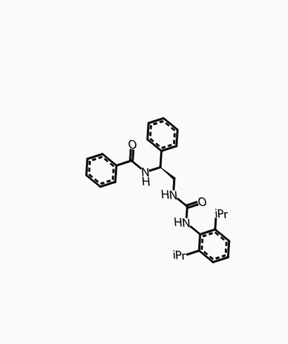 CC(C)c1cccc(C(C)C)c1NC(=O)NC[C@@H](NC(=O)c1ccccc1)c1ccccc1